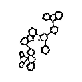 c1ccc(C2N=C(c3cccc(-n4c5ccccc5c5ccccc54)c3)N=C(c3cccc4c3oc3c(-c5ccc6c(c5)C5(c7ccccc7O6)c6ccccc6-c6ccccc65)cccc34)N2)cc1